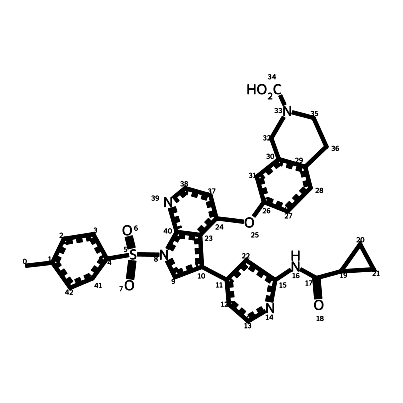 Cc1ccc(S(=O)(=O)n2cc(-c3ccnc(NC(=O)C4CC4)c3)c3c(Oc4ccc5c(c4)CN(C(=O)O)CC5)ccnc32)cc1